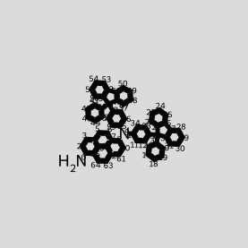 Nc1ccc2ccc3c(N(c4ccc(C5(c6ccccc6)c6ccccc6-c6ccccc65)cc4)c4ccc(C5(c6ccccc6)c6ccccc6-c6ccccc65)cc4)ccc4ccc1c2c43